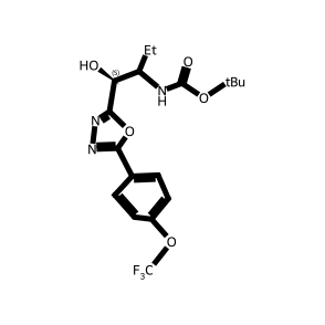 CCC(NC(=O)OC(C)(C)C)[C@H](O)c1nnc(-c2ccc(OC(F)(F)F)cc2)o1